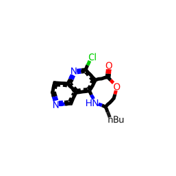 CCCCC1COC(=O)c2c(Cl)nc3ccncc3c2N1